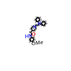 COc1ccc(NC(=O)CC2CCN(CCN(c3ccccc3)c3ccccc3)CC2)cc1